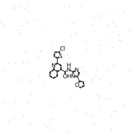 O=C(Nc1ncc(-c2ccco2)[nH]1)c1cc(-c2ccc(Cl)s2)nc2ccccc12